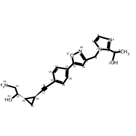 CC(O)c1nccn1Cc1cc(-c2ccc(C#C[C@H]3C[C@@H]3C(O)CN)cc2)on1